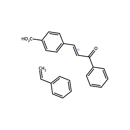 C=Cc1ccccc1.O=C(O)c1ccc(/C=C/C(=O)c2ccccc2)cc1